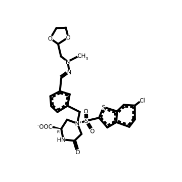 CN(CC1OCCO1)N=Cc1cccc(C[N+]2(S(=O)(=O)c3cc4ccc(Cl)cc4s3)CC(=O)N[C@@H](C(=O)[O-])C2)c1